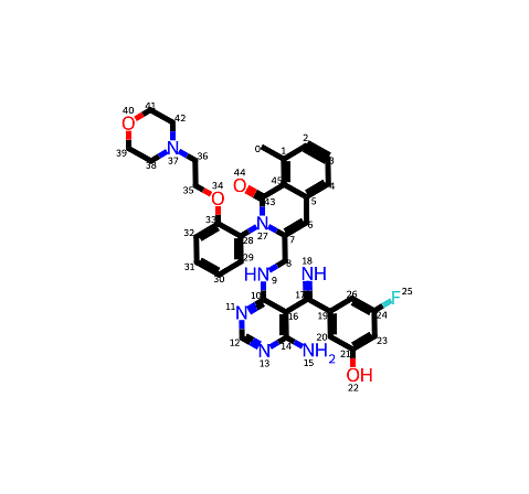 Cc1c#ccc2cc(CNc3ncnc(N)c3C(=N)c3cc(O)cc(F)c3)n(-c3ccccc3OCCN3CCOCC3)c(=O)c12